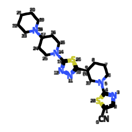 N#Cc1cnc(N2CCC[C@H](c3nnc(N4CCC(N5CCCCC5)CC4)s3)C2)s1